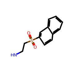 [NH]CCS(=O)(=O)c1ccc2ccccc2c1